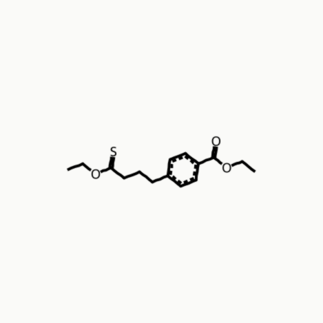 CCOC(=O)c1ccc(CCCC(=S)OCC)cc1